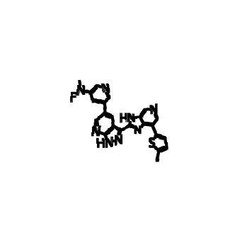 Cc1ccc(-c2cncc3[nH]c(-c4n[nH]c5ncc(-c6cncc(N(C)F)c6)cc45)nc23)s1